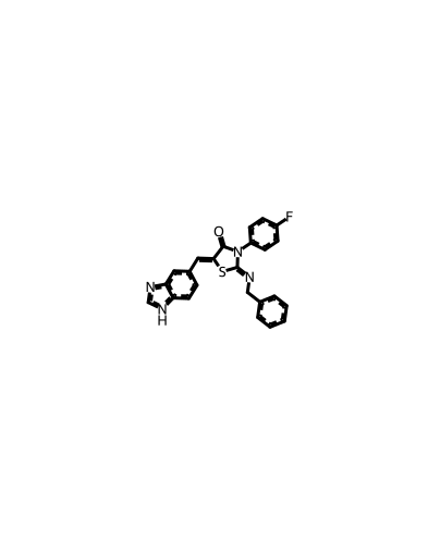 O=C1/C(=C/c2ccc3[nH]cnc3c2)S/C(=N\Cc2ccccc2)N1c1ccc(F)cc1